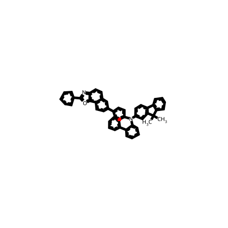 CC1(C)c2ccccc2-c2ccc(N(c3ccc(-c4ccc5c(ccc6nc(-c7ccccc7)oc65)c4)cc3)c3ccccc3-c3ccccc3)cc21